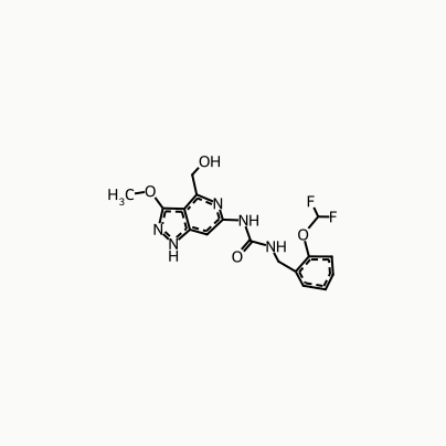 COc1n[nH]c2cc(NC(=O)NCc3ccccc3OC(F)F)nc(CO)c12